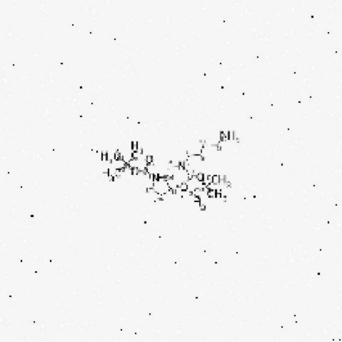 CC(C)(C)OC(=O)N(CCCCN)C[C@@H]1CCCN1C(=O)OC(C)(C)C